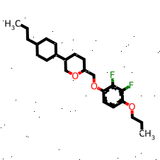 CCCOc1ccc(OCC2CCC(C3CCC(CCC)CC3)CO2)c(F)c1F